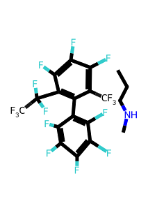 CCCNC.Fc1c(F)c(F)c(-c2c(C(F)(F)F)c(F)c(F)c(F)c2C(F)(F)C(F)(F)F)c(F)c1F